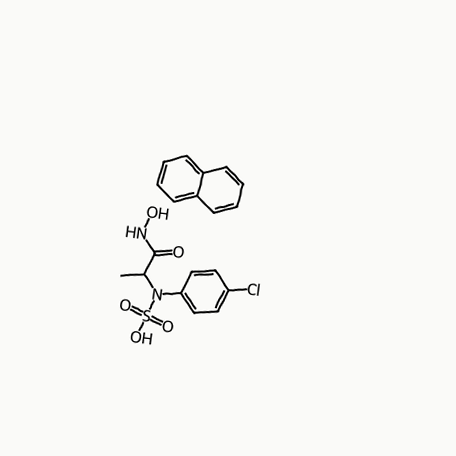 CC(C(=O)NO)N(c1ccc(Cl)cc1)S(=O)(=O)O.c1ccc2ccccc2c1